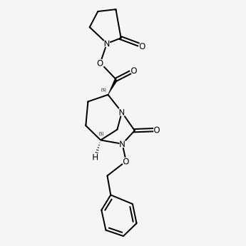 O=C(ON1CCCC1=O)[C@@H]1CC[C@H]2CN1C(=O)N2OCc1ccccc1